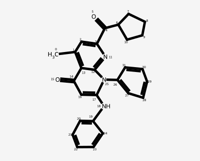 Cc1cc(C(=O)C2CCCC2)nc2c1c(=O)cc(Nc1ccccc1)n2-c1ccccc1